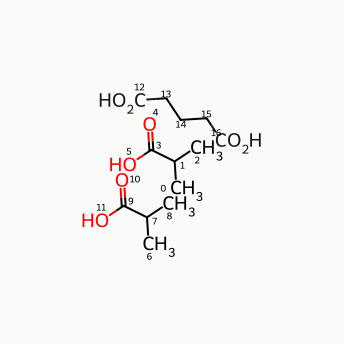 CC(C)C(=O)O.CC(C)C(=O)O.O=C(O)CCCC(=O)O